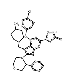 CC1CCC(Cn2c(N3CCOCC3c3ccccc3)nc3nc(-c4n[nH]c(=O)o4)nc(Oc4ccc(Cl)cn4)c32)CC1